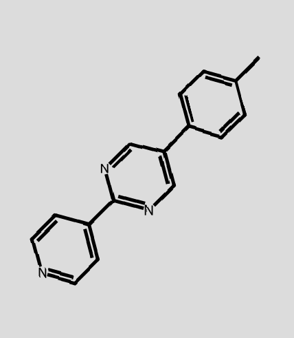 Cc1ccc(-c2cnc(-c3ccncc3)nc2)cc1